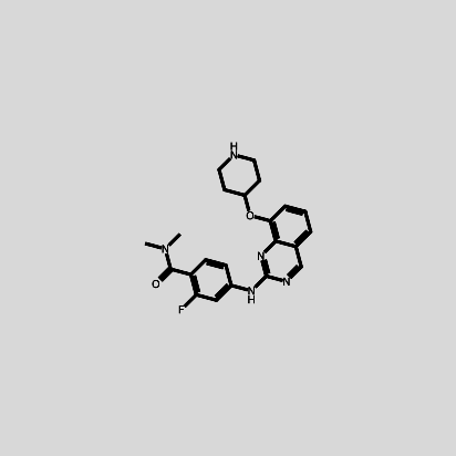 CN(C)C(=O)c1ccc(Nc2ncc3cccc(OC4CCNCC4)c3n2)cc1F